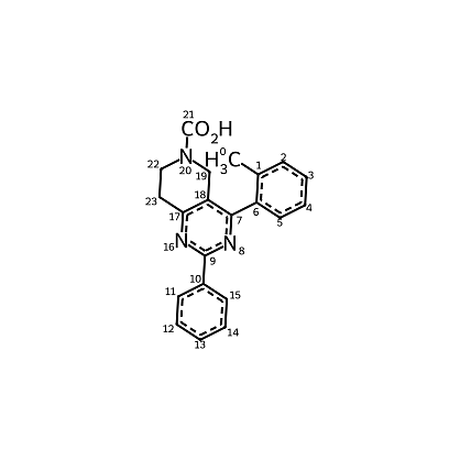 Cc1ccccc1-c1nc(-c2ccccc2)nc2c1CN(C(=O)O)CC2